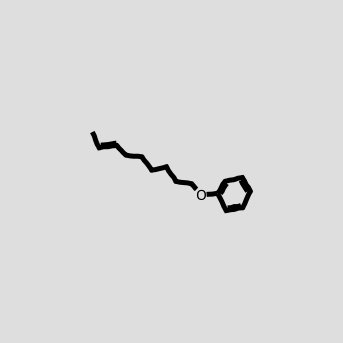 C/C=C/CCCCCCOc1ccccc1